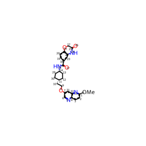 COc1ccc2ncc(OCC[C@H]3CC[C@H](NC(=O)c4ccc5c(c4)NC(=O)CO5)CC3)cc2n1